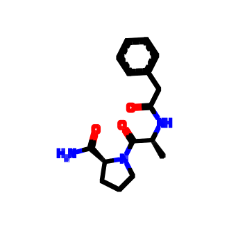 C[C@H](NC(=O)Cc1ccccc1)C(=O)N1CCC[C@H]1C(N)=O